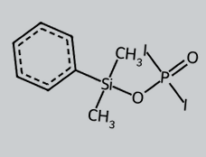 C[Si](C)(OP(=O)(I)I)c1ccccc1